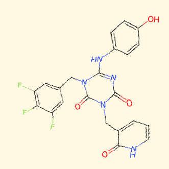 O=c1[nH]cccc1Cn1c(=O)nc(Nc2ccc(O)cc2)n(Cc2cc(F)c(F)c(F)c2)c1=O